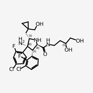 N[C@]1(c2ccc(Cl)cc2F)[C@H](CC2(CO)CC2)N[C@@H](C(=O)NCC[C@H](O)CO)[C@@H]1c1cccc(Cl)c1F